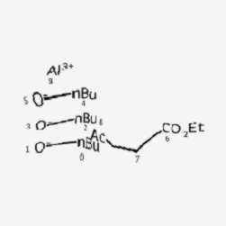 CCCC[O-].CCCC[O-].CCCC[O-].CCOC(=O)CC(C)=O.[Al+3]